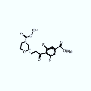 COC(=O)c1cc(F)c(C(=O)CC[C@H]2CN(C(=O)OC(C)(C)C)CCO2)c(F)c1